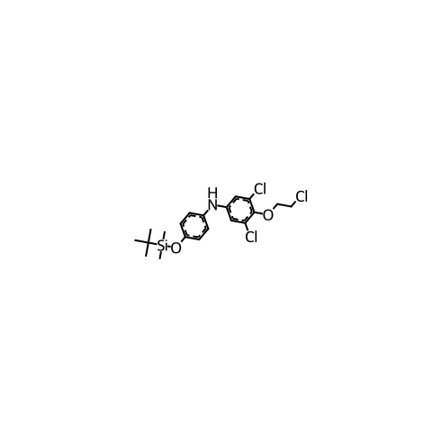 CC(C)(C)[Si](C)(C)Oc1ccc(Nc2cc(Cl)c(OCCCl)c(Cl)c2)cc1